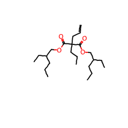 C=CCC(CCC)(C(=O)OCC(CC)CCC)C(=O)OCC(CC)CCC